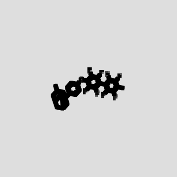 Cc1c(F)c(F)c(-c2c(F)c(F)c(Oc3ccc(C45CC6CC(CC(C)(C6)C4)C5)cc3)c(F)c2F)c(F)c1F